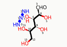 N=[N+]=N.O=C[C@@H](O)[C@@H](O)[C@H](O)[C@H](O)CO